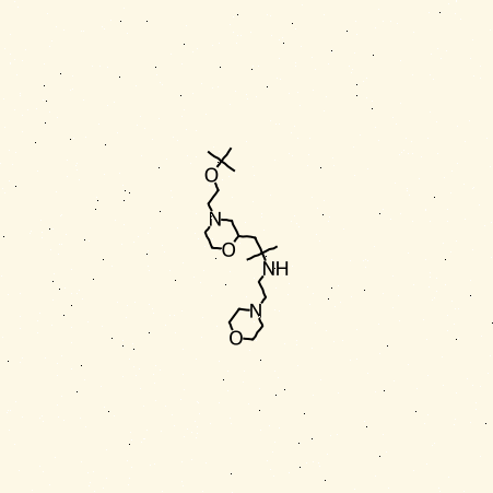 CC(C)(CC1CN(CCOC(C)(C)C)CCO1)NCCN1CCOCC1